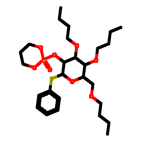 CCCCOCC1OC(Sc2ccccc2)C(OP2(=O)OCCCO2)C(OCCCC)C1OCCCC